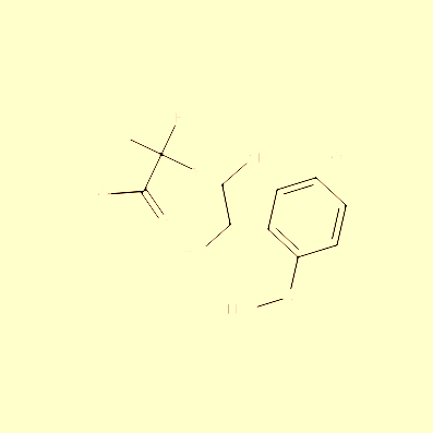 CSc1ccccc1.O.O=C(O)C(F)(F)F.SCCS